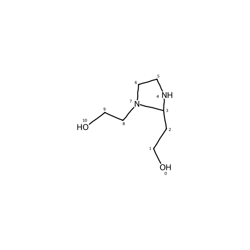 OCCC1NCCN1CCO